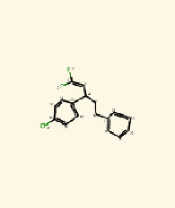 FC(F)=CC(CCc1ccccc1)c1ccc(Cl)cc1